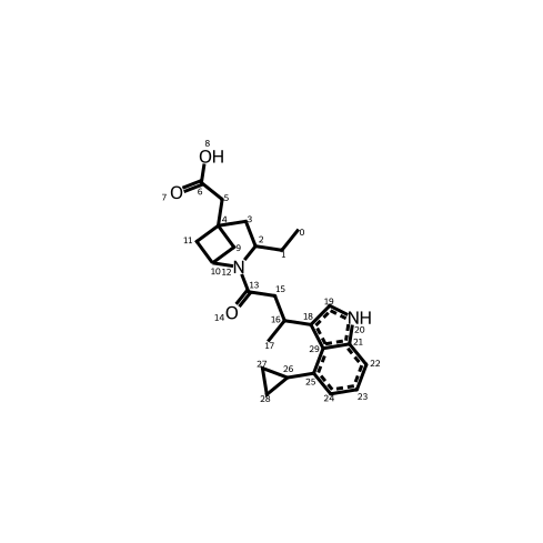 CCC1CC2(CC(=O)O)CC(C2)N1C(=O)CC(C)c1c[nH]c2cccc(C3CC3)c12